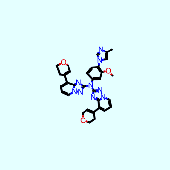 COc1cc(N(c2nc3c(C4=CCOCC4)cccn3n2)c2nc3c(C4=CCOCC4)cccn3n2)ccc1-n1cnc(C)c1